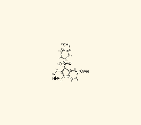 COc1ccc2c3c(n(S(=O)(=O)c4ccc(C)cc4)c2c1)CCNC3